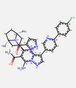 CC(=O)c1c([C@H]2C[C@H]3CC[C@@H](C2)N3C(=O)c2ccn[nH]2)nc2c(-c3ccc(-c4ccc(F)cc4)nc3)cnn2c1N